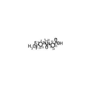 CC(F)(F)c1ccc(N2CCN(c3cccc(C(=O)O)c3)C2=O)cc1